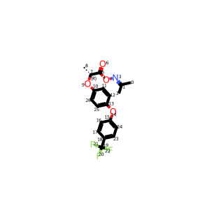 CC(C)=NOC(=O)[C@@H](C)Oc1ccc(Oc2ccc(C(F)(F)F)cc2)cc1